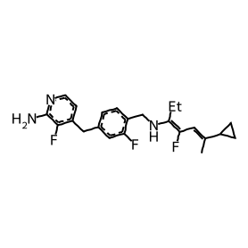 CC/C(NCc1ccc(Cc2ccnc(N)c2F)cc1F)=C(F)\C=C(/C)C1CC1